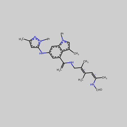 C=C(NC/C(C)=C(C)/C=C(/C)NC=O)c1cc(Nc2cc(C)nn2C(C)C)cc2c1c(C)cn2C(C)C